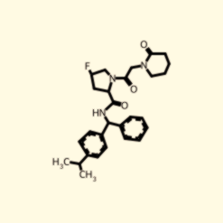 CC(C)c1ccc(C(NC(=O)C2CC(F)CN2C(=O)CN2CCCCC2=O)c2ccccc2)cc1